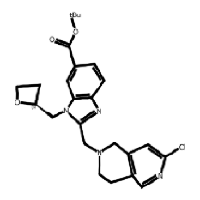 CC(C)(C)OC(=O)c1ccc2nc(CN3CCc4cnc(Cl)cc4C3)n(C[C@@H]3CCO3)c2c1